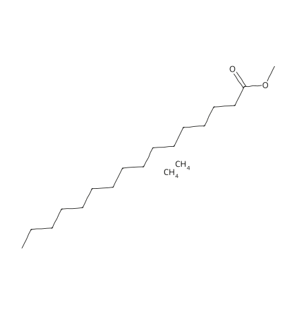 C.C.CCCCCCCCCCCCCCCC(=O)OC